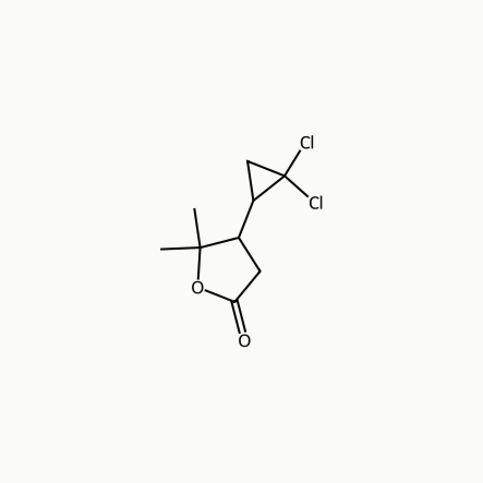 CC1(C)OC(=O)CC1C1CC1(Cl)Cl